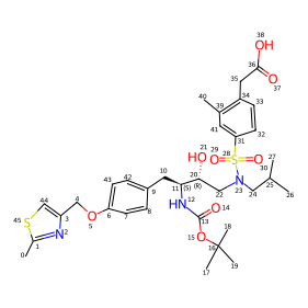 Cc1nc(COc2ccc(C[C@H](NC(=O)OC(C)(C)C)[C@H](O)CN(CC(C)C)S(=O)(=O)c3ccc(CC(=O)O)c(C)c3)cc2)cs1